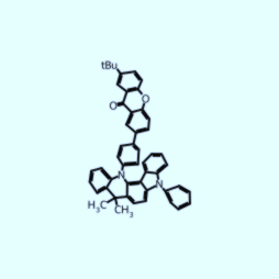 CC(C)(C)c1ccc2oc3ccc(-c4ccc(N5c6ccccc6C(C)(C)c6ccc7c(c65)c5ccccc5n7-c5ccccc5)cc4)cc3c(=O)c2c1